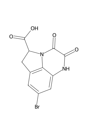 O=C(O)C1Cc2cc(Br)cc3[nH]c(=O)c(=O)n1c23